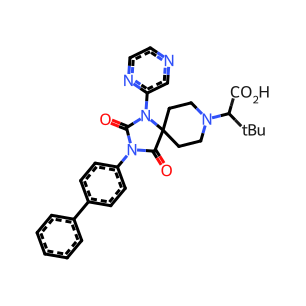 CC(C)(C)C(C(=O)O)N1CCC2(CC1)C(=O)N(c1ccc(-c3ccccc3)cc1)C(=O)N2c1cnccn1